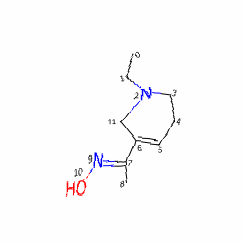 CCN1CCC=C(/C(C)=N/O)C1